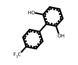 Oc1cccc(O)c1-c1ccc(C(F)(F)F)cc1